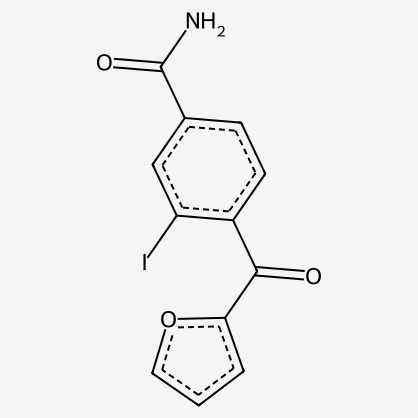 NC(=O)c1ccc(C(=O)c2ccco2)c(I)c1